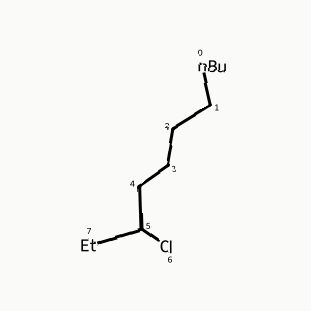 CCCCC[CH]CCC(Cl)CC